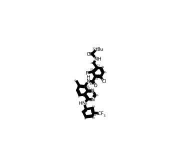 Cc1ccc2c(Nc3cccc(C(F)(F)F)c3)ncnc2c1NC(=O)c1c(Cl)ccc(CNC(=O)C(C)(C)C)c1F